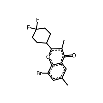 Cc1cc(Br)c2oc(C3CCC(F)(F)CC3)c(C)c(=O)c2c1